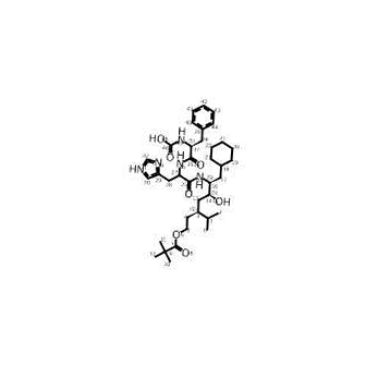 CC(C)[C@@H](CCOC(=O)C(C)(C)C)C[C@H](O)[C@H](CC1CCCCC1)NC(=O)C(Cc1c[nH]cn1)NC(=O)[C@H](Cc1ccccc1)NC(=O)O